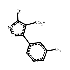 CCc1noc(-c2cccc(C(F)(F)F)c2)c1C(=O)O